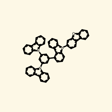 c1ccc2c(c1)oc1cc(-n3c4ccccc4c4c(-c5cc(-n6c7ccccc7c7ccccc76)cc(-n6c7ccccc7c7ccccc76)c5)cccc43)ccc12